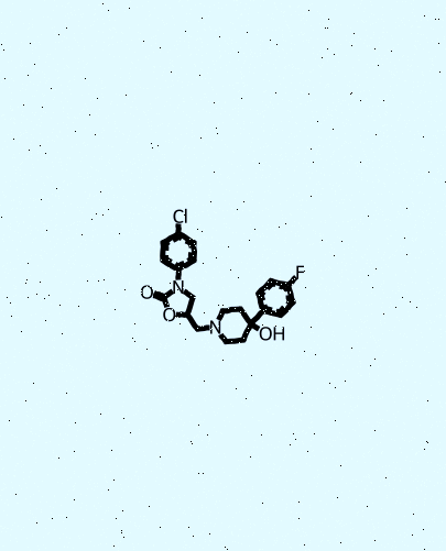 O=C1OC(CN2CCC(O)(c3ccc(F)cc3)CC2)CN1c1ccc(Cl)cc1